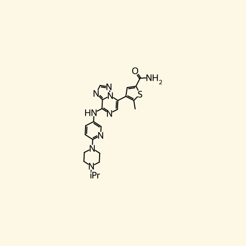 Cc1sc(C(N)=O)cc1-c1cnc(Nc2ccc(N3CCN(C(C)C)CC3)nc2)c2ncnn12